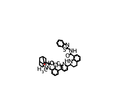 Cc1c(-c2ccc(C3CCc4cccc(C(=O)Nc5nc6ccccc6s5)c4N3)nc2C(=O)O)cccc1N(C)C(=O)C12CC3CC(CC(C3)O1)C2